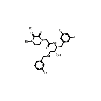 CCc1cccc(CNC[C@@H](O)[C@H](Cc2cc(F)cc(F)c2)NC(=O)CN2CCN(CC)C(=O)C2=O)c1.Cl